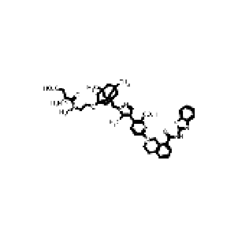 Cc1c(-c2ccc(N3CCc4cccc(C(=O)Nc5nc6ccccc6s5)c4C3)nc2C(=O)O)cnn1CC12CC3(C)CC(C)(C1)CC(OCCN(C)C(=O)[C@H](N)CC(=O)O)(C3)C2